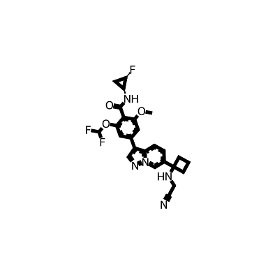 COc1cc(-c2cnn3cc(C4(NCC#N)CCC4)ccc23)cc(OC(F)F)c1C(=O)N[C@@H]1C[C@@H]1F